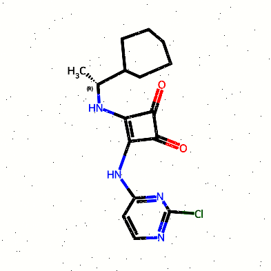 C[C@@H](Nc1c(Nc2ccnc(Cl)n2)c(=O)c1=O)C1CCCCC1